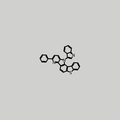 C1=CC2=NC=C(n3c4ccc(-c5ccccc5)nc4c4ccc5sc6ccccc6c5c43)C2C=C1